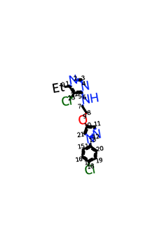 CCc1ncnc(NCCOc2cnn(-c3ccc(Cl)cc3)c2)c1Cl